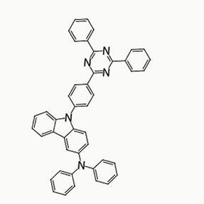 c1ccc(-c2nc(-c3ccccc3)nc(-c3ccc(-n4c5ccccc5c5cc(N(c6ccccc6)c6ccccc6)ccc54)cc3)n2)cc1